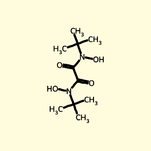 CC(C)(C)N(O)C(=O)C(=O)N(O)C(C)(C)C